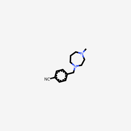 CN1CCCN(Cc2ccc(C#N)cc2)CC1